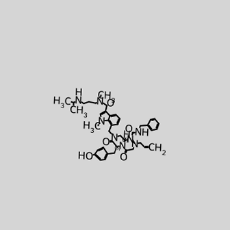 C=CCN1CC(=O)N2[C@@H](Cc3ccc(O)cc3)C(=O)N(Cc3cccc4c(C(=O)N(C)CCCNC(C)C)cn(C)c34)C[C@@H]2N1C(=O)NCc1ccccc1